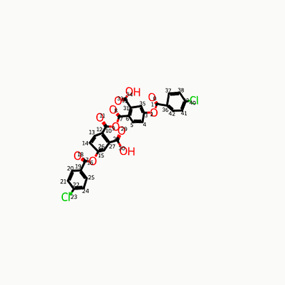 O=C(Oc1ccc(C(=O)OC(=O)c2ccc(OC(=O)c3ccc(Cl)cc3)cc2C(=O)O)c(C(=O)O)c1)c1ccc(Cl)cc1